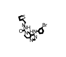 O=C(N/N=C/c1cccs1)N1CCc2ncnc(Nc3cccc(Br)c3)c2C1